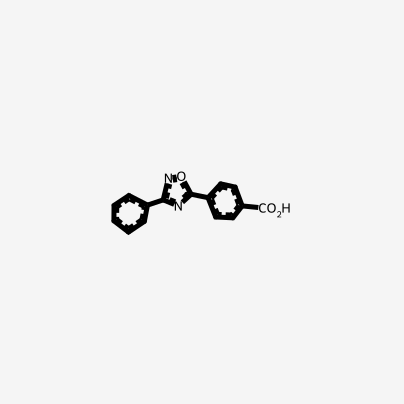 O=C(O)c1ccc(-c2nc(-c3ccccc3)no2)cc1